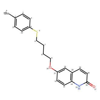 CC(C)(C)c1ccc(SCCCCOc2ccc3[nH]c(=O)ccc3c2)cc1